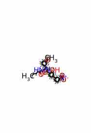 CCCCC(=O)Nc1oc(-c2ccc(-c3cccc([N+](=O)[O-])c3)cc2O)nc1-c1cccc(OC)c1